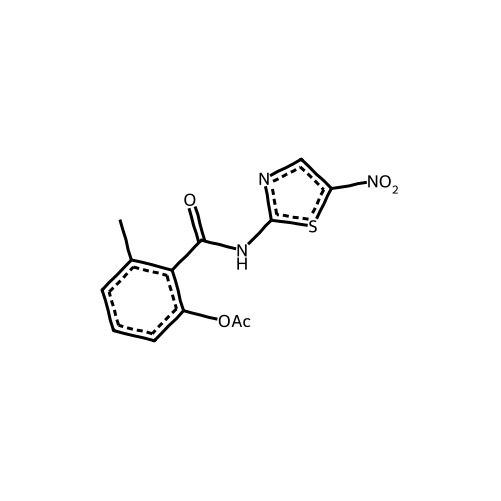 CC(=O)Oc1cccc(C)c1C(=O)Nc1ncc([N+](=O)[O-])s1